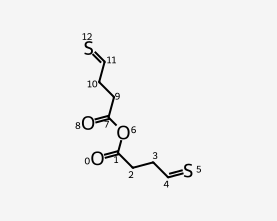 O=C(CCC=S)OC(=O)CCC=S